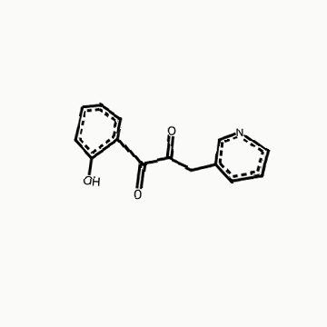 O=C(Cc1cccnc1)C(=O)c1ccccc1O